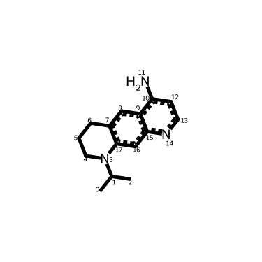 CC(C)N1CCCc2cc3c(N)ccnc3cc21